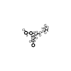 COC(=O)N[C@H](C(=O)OCOC(=O)[C@H](O)CN(Cc1ccc(-c2cc(Cl)ccc2F)cc1)NC(=O)c1nn(-c2ccccc2)c(=O)[nH]1)C(C)C